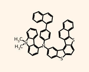 C[Si]1(C)c2ccccc2-c2c(N(c3ccc(-c4cccc5ccccc45)cc3)c3ccc4sc5ccc6sc7c8ccccc8ccc7c6c5c4c3)cccc21